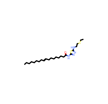 CCCCCCCCC=CCCCCCCCC(=O)Nc1nnc(NCCSCC)s1